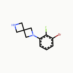 Fc1c(Br)cccc1N1CC2(CNC2)C1